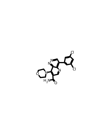 NC(=O)c1cnc2c(-c3cc(Cl)cc(Cl)c3)cnnc2c1N1CCOCC1